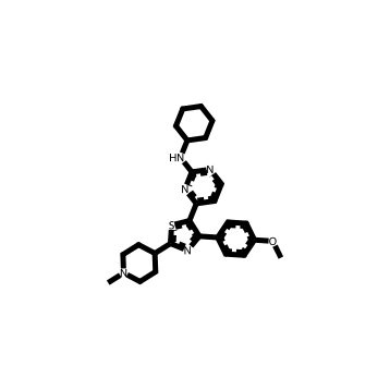 COc1ccc(-c2nc(C3CCN(C)CC3)sc2-c2ccnc(NC3CCCCC3)n2)cc1